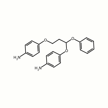 Nc1ccc(OCCC(Oc2ccccc2)Oc2ccc(N)cc2)cc1